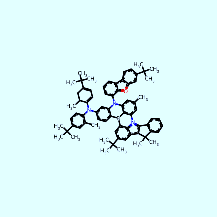 Cc1cc2c3c(c1)-n1c4c(c5cc(C(C)(C)C)cc(c51)B3c1ccc(N(C3=CC=C(C(C)(C)C)CC3C)c3ccc(C(C)(C)C)cc3C)cc1N2c1cccc2c1oc1cc(C(C)(C)C)ccc12)C(C)(C)c1ccccc1-4